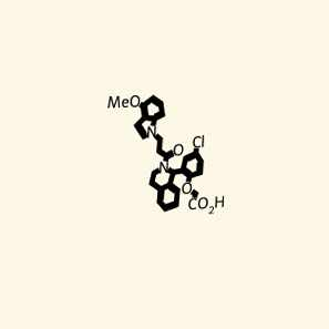 COc1cccc2c1ccn2CCC(=O)N1CCc2ccccc2C1c1cc(Cl)ccc1OCC(=O)O